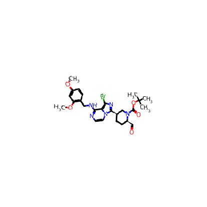 COc1ccc(CNc2nccn3c([C@@H]4CC[C@H](C=O)N(C(=O)OC(C)(C)C)C4)nc(Br)c23)c(OC)c1